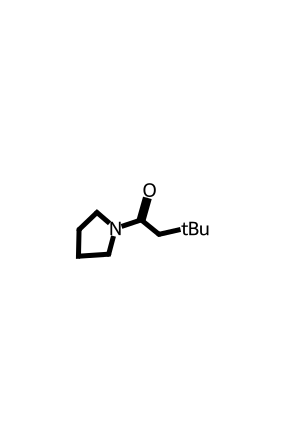 CC(C)(C)CC(=O)N1CCCC1